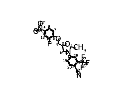 C[C@H]1O[C@H](COc2ccc([N+](=O)[O-])cc2F)CN1c1ccc(C#N)c(C(F)(F)F)c1